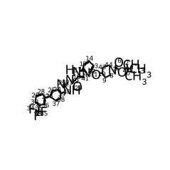 CC(C)(C)OC(=O)N1CCC(Oc2cccc3nc(C(=O)Nc4nc5cc(-c6cccc(C(F)(F)F)c6)ccc5[nH]4)cn23)CC1